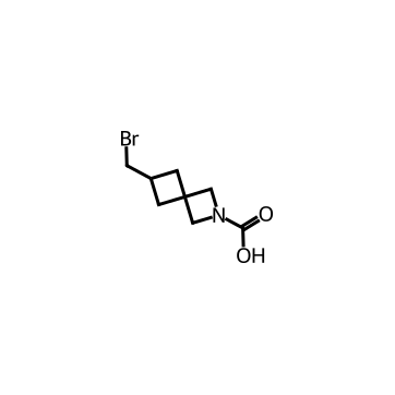 O=C(O)N1CC2(CC(CBr)C2)C1